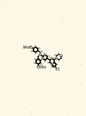 CCc1cc2c(N3CCOCC3)nc(-c3cnc(N(Cc4ccc(OC)cc4)Cc4ccc(OC)cc4)nc3)cn2n1